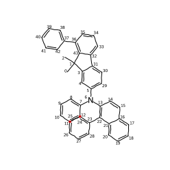 CC1(C)c2cc(N(c3ccccc3)c3ccc4ccccc4c3-c3ccccc3)ccc2-c2cccc(-c3ccccc3)c21